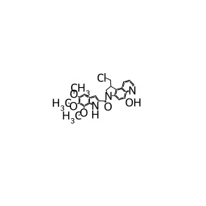 COc1cc2cc(C(=O)N3CC(CCl)c4c3cc(O)c3ncccc43)[nH]c2c(OC)c1OC